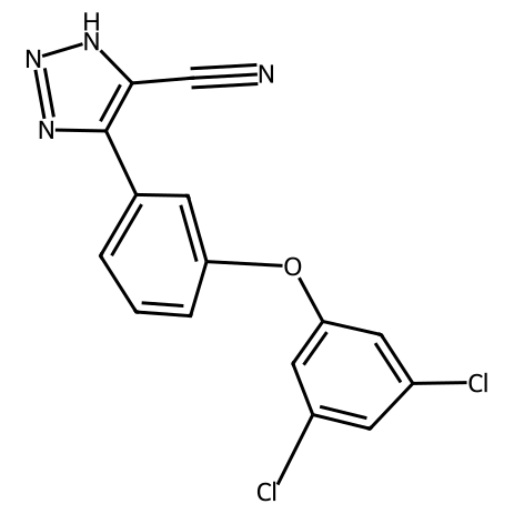 N#Cc1[nH]nnc1-c1cccc(Oc2cc(Cl)cc(Cl)c2)c1